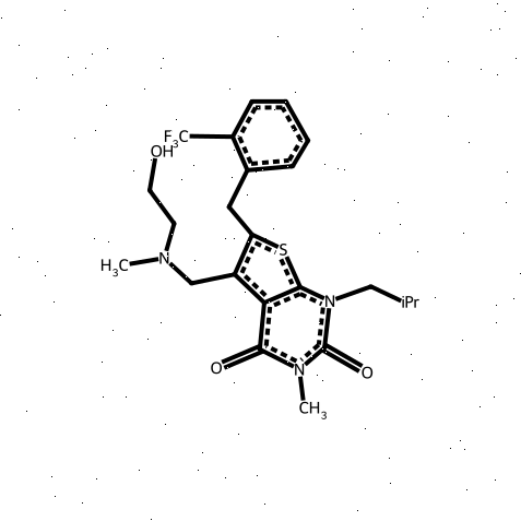 CC(C)Cn1c(=O)n(C)c(=O)c2c(CN(C)CCO)c(Cc3ccccc3C(F)(F)F)sc21